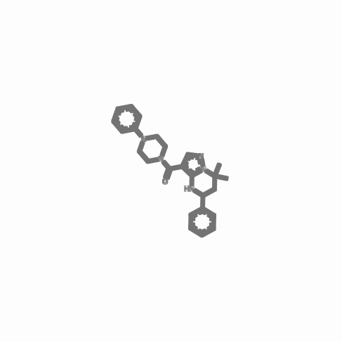 CC1(C)CC(c2ccccc2)Nc2c(C(=O)N3CCN(c4ccccc4)CC3)cnn21